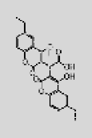 CCc1ccc2oc(=O)c(C(C(=O)O)c3c(O)c4cc(CC)ccc4oc3=O)c(O)c2c1